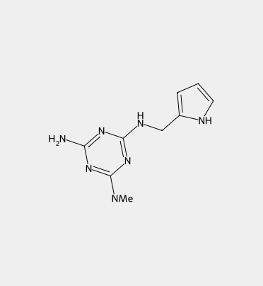 CNc1nc(N)nc(NCc2ccc[nH]2)n1